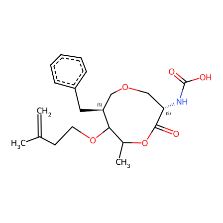 C=C(C)CCOC1C(C)OC(=O)[C@@H](NC(=O)O)COC[C@@H]1Cc1ccccc1